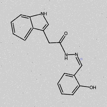 O=C(Cc1c[nH]c2ccccc12)N/N=C\c1ccccc1O